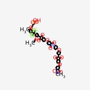 CCCOc1cc(C(c2ccc(C)c(OCCCS(=O)(=O)O)c2)(C(F)(F)F)C(F)(F)F)ccc1C1C(=O)C2=CCC(OC3=CC4C(=O)N(C5=CC=C(OC6=CC=C(C7C(=O)C8=CCC(OC9=CC%10C(=O)N(C)C(=O)C%10C=C9)C=C8C7=O)CC6)CC5)C(=O)C4C=C3)C=C2C1=O